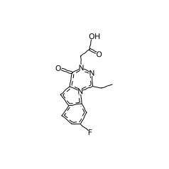 CCc1nn(CC(=O)O)c(=O)c2cc3ccc(F)cc3n12